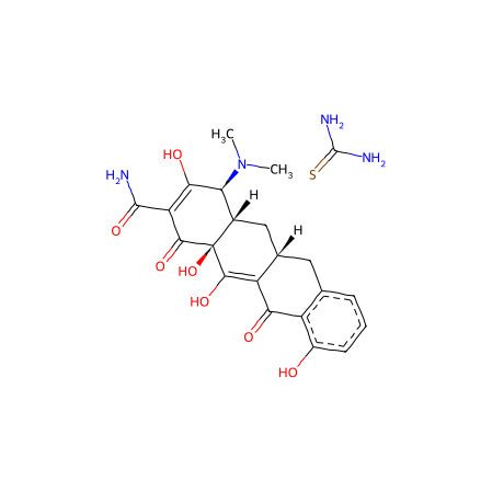 CN(C)[C@@H]1C(O)=C(C(N)=O)C(=O)[C@@]2(O)C(O)=C3C(=O)c4c(O)cccc4C[C@H]3C[C@@H]12.NC(N)=S